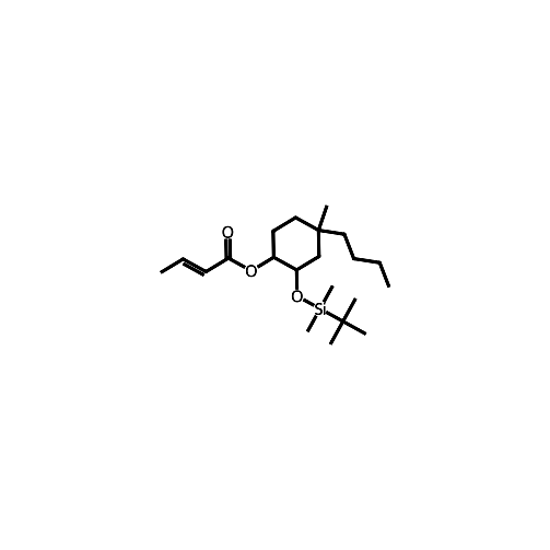 CC=CC(=O)OC1CCC(C)(CCCC)CC1O[Si](C)(C)C(C)(C)C